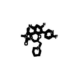 Cn1c(=O)n2c3c4c(c(-c5ccc(F)nc5)c(F)cc4ncc31)O[C@@H](CN1CCCCC1)C2